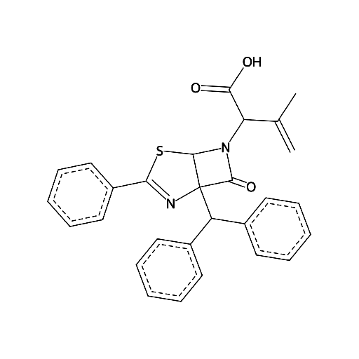 C=C(C)C(C(=O)O)N1C(=O)C2(C(c3ccccc3)c3ccccc3)N=C(c3ccccc3)SC12